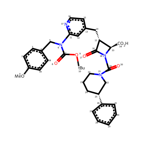 COc1ccc(CN(C(=O)OC(C)(C)C)c2cc(C[C@H]3C(=O)N(C(=O)N4CCC[C@@H](c5ccccc5)C4)[C@@H]3C(=O)O)ccn2)cc1